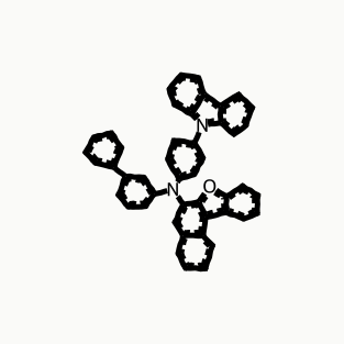 c1ccc(-c2cccc(N(c3ccc(-n4c5ccccc5c5ccccc54)cc3)c3cc4ccccc4c4c3oc3ccccc34)c2)cc1